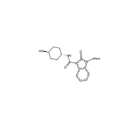 CCCCCn1c(=O)n(C(=O)N[C@H]2CC[C@H](O)CC2)c2ccccc21